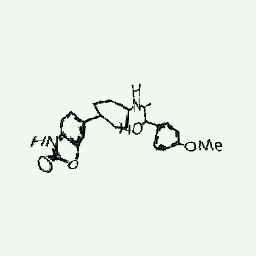 COc1ccc([C@@H](O)[C@H](C)NC2CCC(c3ccc4[nH]c(=O)oc4c3)CC2)cc1